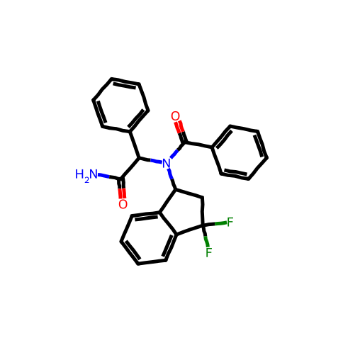 NC(=O)C(c1ccccc1)N(C(=O)c1ccccc1)C1CC(F)(F)c2ccccc21